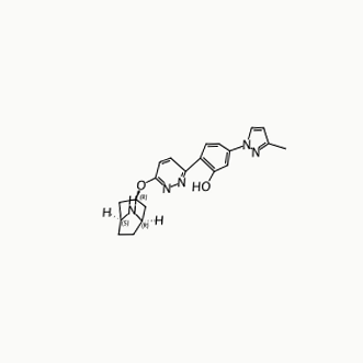 Cc1ccn(-c2ccc(-c3ccc(O[C@H]4C[C@H]5CC[C@@H](C4)N5)nn3)c(O)c2)n1